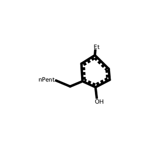 CCCCCCc1cc(CC)ccc1O